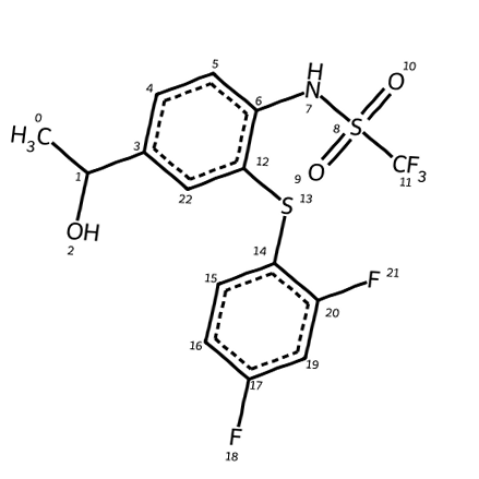 CC(O)c1ccc(NS(=O)(=O)C(F)(F)F)c(Sc2ccc(F)cc2F)c1